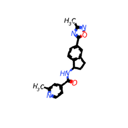 Cc1cc(C(=O)NC2CCc3cc(-c4nc(C)no4)ccc32)ccn1